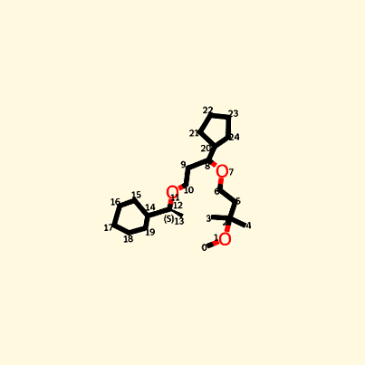 COC(C)(C)CCOC(CCO[C@@H](C)C1CCCCC1)C1CCCC1